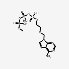 COP(=O)(O)OP(=O)(O)OP(=O)(O)OCCOCn1cnc2c(N)ncnc21